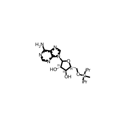 CC(C)[Si](C)(OC[C@H]1OC(n2cnc3c(N)ncnc32)[C@@H](O)[C@@H]1O)C(C)C